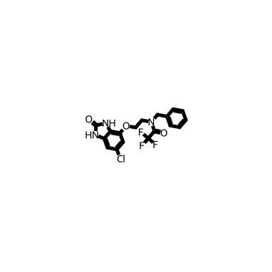 O=C(N(CCOc1cc(Cl)cc2[nH]c(=O)[nH]c12)Cc1ccccc1)C(F)(F)F